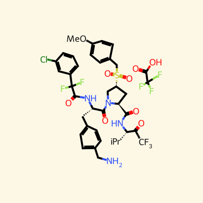 COc1ccc(CS(=O)(=O)[C@@H]2C[C@@H](C(=O)N[C@H](C(=O)C(F)(F)F)C(C)C)N(C(=O)[C@H](Cc3ccc(CN)cc3)NC(=O)C(F)(F)c3cccc(Cl)c3)C2)cc1.O=C(O)C(F)(F)F